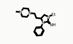 CCN1CC(CCN2CCN(C)CC2)N(c2ccccc2)C1=N